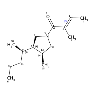 C/C=C(\C)C(=O)N1C[C@H]([C@H](C)CCC)[C@H](C)C1